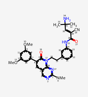 CNc1ncc2cc(-c3cc(OC)cc(OC)c3)c(=O)n(CCc3cccc(NC(=O)C(C#N)=CC(C)(C)N)c3)c2n1